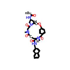 CCCCC(=O)N[C@@H]1C[C@H]2COc3ccc(cc3)C(=O)N(C)[C@H](C(=O)NCc3ccc4ccccc4c3)CCC(=O)N(C)CC(=O)N2C1